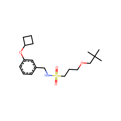 CC(C)(C)COCCCS(=O)(=O)NCc1cccc(OC2CCC2)c1